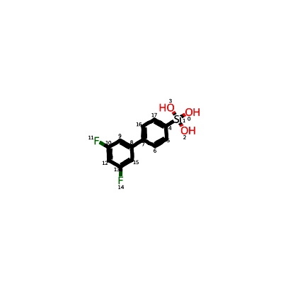 O[Si](O)(O)c1ccc(-c2cc(F)cc(F)c2)cc1